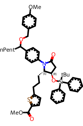 CCCCCC(OCc1ccc(OC)cc1)c1ccc(N2C(=O)C[C@@H](O[Si](c3ccccc3)(c3ccccc3)C(C)(C)C)[C@@H]2CCCc2ccc(C(=O)OC)s2)cc1